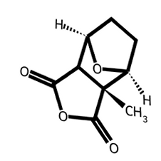 C[C@@]12C(=O)OC(=O)C1[C@H]1CC[C@@H]2O1